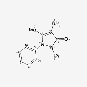 CC(C)n1c(=O)c(N)c(C(C)(C)C)n1-c1ccccc1